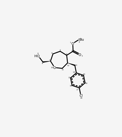 CC(C)(C)OC(=O)C1CC[C@H](CO)OC[C@@H]1Cc1ccc(Cl)cc1